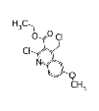 CCOC(=O)c1c(Cl)nc2ccc(OC)cc2c1CCl